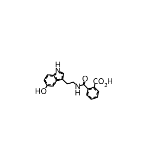 O=C(O)c1ccccc1C(=O)NCCc1c[nH]c2ccc(O)cc12